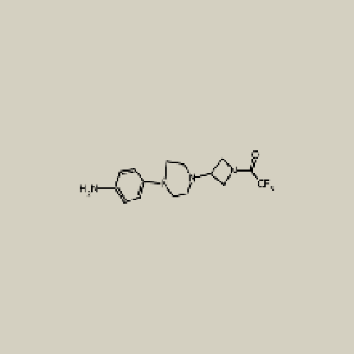 Nc1ccc(N2CCN(C3CN(C(=O)C(F)(F)F)C3)CC2)cc1